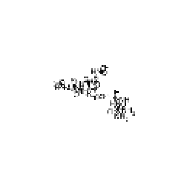 CC(C)(C)OC(=O)NCCCC[C@H](NC(=O)OC(C)(C)C)C(=O)NCCCN(CCCNC(=O)[C@H](CCCCNC(=O)OC(C)(C)C)NC(=O)OC(C)(C)C)CCOc1ccc(CCCCNC(=N)NC(=O)c2nc(Cl)c(N)nc2N)cc1